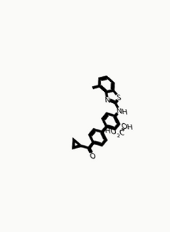 Cc1cccc2sc(Nc3ccc(-c4ccc(C(=O)C5CC5)cc4)cc3)nc12.O=C(O)O